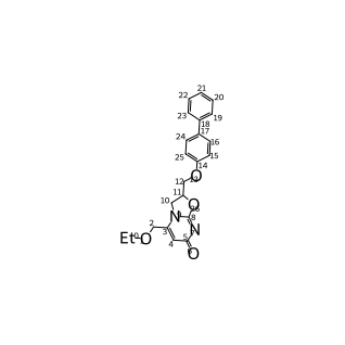 CCOCc1cc(=O)nc2n1CC(COc1ccc(-c3ccccc3)cc1)O2